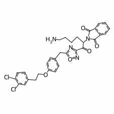 NCCCCC(C(=O)c1noc(Cc2ccc(OCCc3ccc(Cl)c(Cl)c3)cc2)n1)N1C(=O)c2ccccc2C1=O